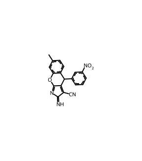 Cc1ccc2c(c1)OC1=NC(=N)C(C#N)=C1C2c1cccc([N+](=O)[O-])c1